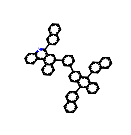 c1cc(-c2ccc3c(-c4ccc5ccccc5c4)c4ccccc4c(-c4ccc5ccccc5c4)c3c2)cc(-c2cc3c(-c4ccc5ccccc5c4)nc4ccccc4c3c3ccccc23)c1